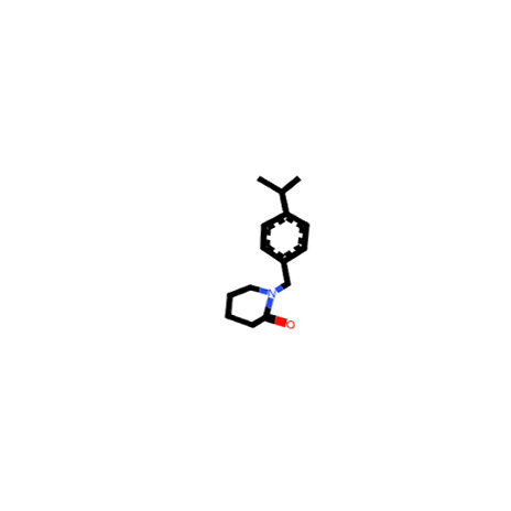 CC(C)c1ccc(CN2CCCCC2=O)cc1